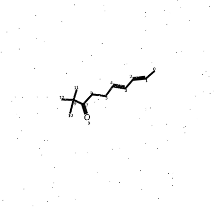 C/C=C/C=C/CCC(=O)C(C)(C)C